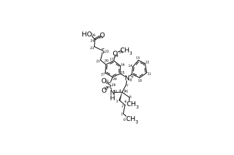 CCCC[C@]1(CC)CN(c2ccccc2)c2cc(OC)c(CSCC(=O)O)cc2S(=O)(=O)N1